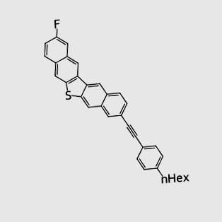 CCCCCCc1ccc(C#Cc2ccc3cc4c(cc3c2)sc2cc3ccc(F)cc3cc24)cc1